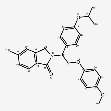 COc1ccc(OCC(c2ccc(OC(C)C)cc2)N2Cc3cc(F)ccc3C2=O)cc1